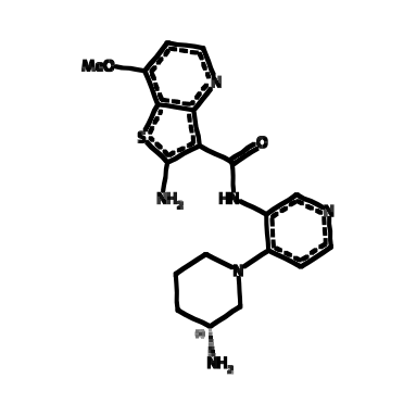 COc1ccnc2c(C(=O)Nc3cnccc3N3CCC[C@@H](N)C3)c(N)sc12